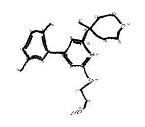 Cc1ccc(C)c(-c2cc(OCCO)nc(C3(C)CCOCC3)c2)c1